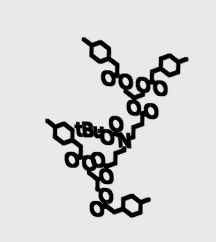 CC1CCC(CC(=O)OCC(COC(=O)CC2CCC(C)CC2)OC(=O)CCCN(CCCC(=O)OC(COC(=O)CC2CCC(C)CC2)COC(=O)CC2CCC(C)CC2)C(=O)OC(C)(C)C)CC1